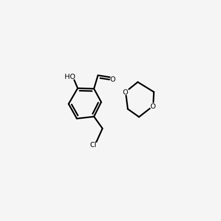 C1COCCO1.O=Cc1cc(CCl)ccc1O